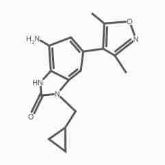 Cc1noc(C)c1-c1cc(N)c2[nH]c(=O)n(CC3CC3)c2c1